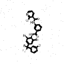 O=C(Nc1c(Br)cc(C(F)(c2cccc(Cl)c2)C(F)(F)F)cc1Br)c1cccc(NC(=O)c2cccnc2Cl)c1